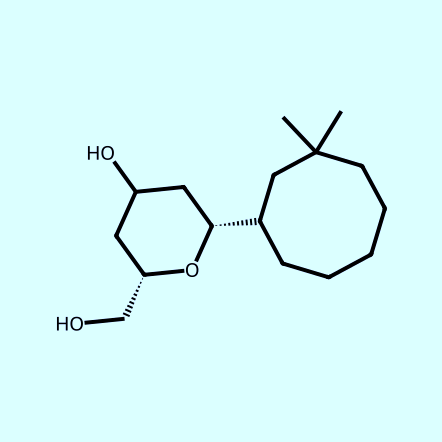 CC1(C)CCCCCC([C@H]2CC(O)C[C@@H](CO)O2)C1